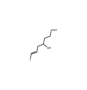 CCCCCCCC(O)CC=CI